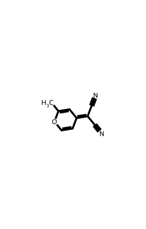 CC1=CC(=C(C#N)C#N)C=CO1